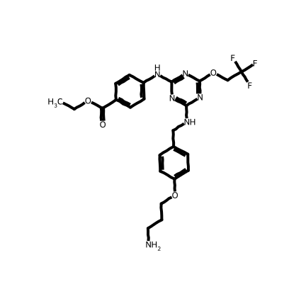 CCOC(=O)c1ccc(Nc2nc(NCc3ccc(OCCCN)cc3)nc(OCC(F)(F)F)n2)cc1